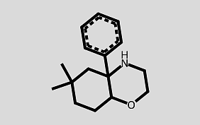 CC1(C)CCC2OCCNC2(c2ccccc2)C1